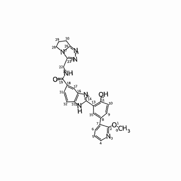 COc1ncccc1-c1ccc(O)c(-c2nc3cc(C(=O)NCc4nnc5n4CCC5)ccc3[nH]2)c1